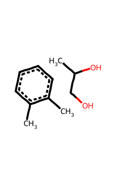 CC(O)CO.Cc1ccccc1C